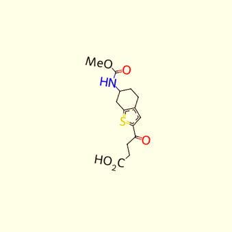 COC(=O)NC1CCc2cc(C(=O)CCC(=O)O)sc2C1